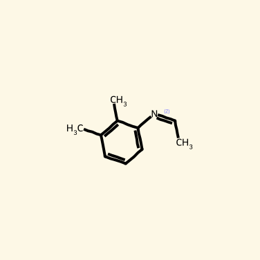 C/C=N\c1cccc(C)c1C